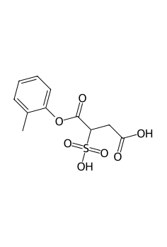 Cc1ccccc1OC(=O)C(CC(=O)O)S(=O)(=O)O